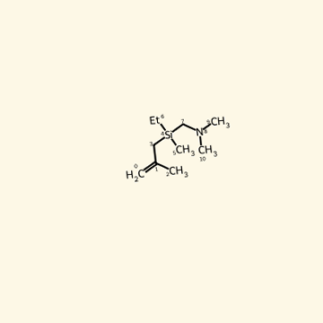 C=C(C)C[Si](C)(CC)CN(C)C